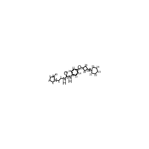 C[C@@H]1CCCN1CCNC(=O)Nc1ccc(OC2CC(N3CCCCC3)C2)cc1